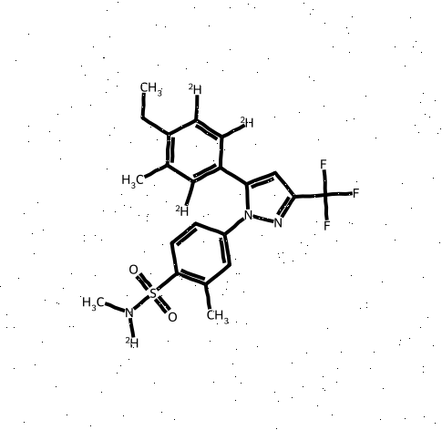 [2H]c1c([2H])c(-c2cc(C(F)(F)F)nn2-c2ccc(S(=O)(=O)N([2H])C)c(C)c2)c([2H])c(C)c1CC